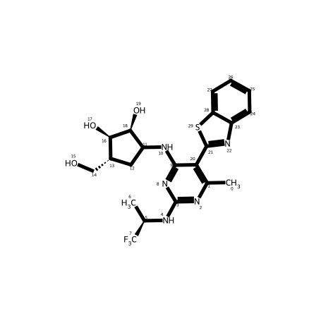 Cc1nc(N[C@H](C)C(F)(F)F)nc(NC2C[C@H](CO)[C@@H](O)[C@H]2O)c1-c1nc2ccccc2s1